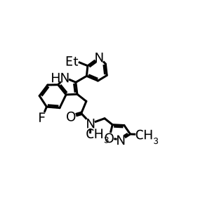 CCc1ncccc1-c1[nH]c2ccc(F)cc2c1CC(=O)N(C)Cc1cc(C)no1